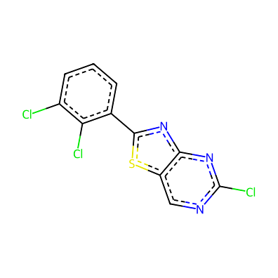 Clc1ncc2sc(-c3cccc(Cl)c3Cl)nc2n1